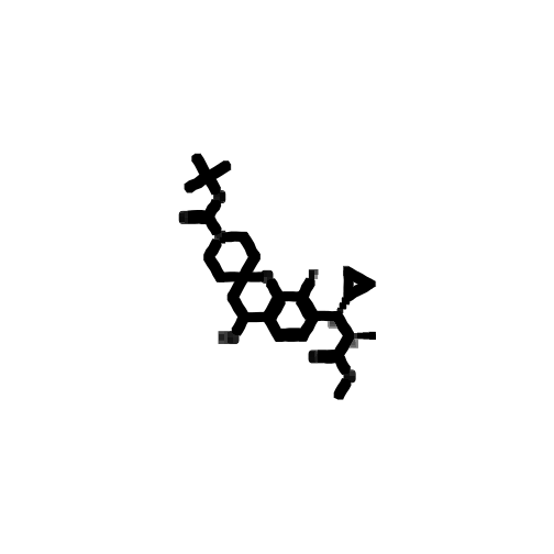 COC(=O)[C@@H](C)[C@H](c1ccc2c(c1F)OC1(CCN(C(=O)OC(C)(C)C)CC1)CC2O)C1CC1